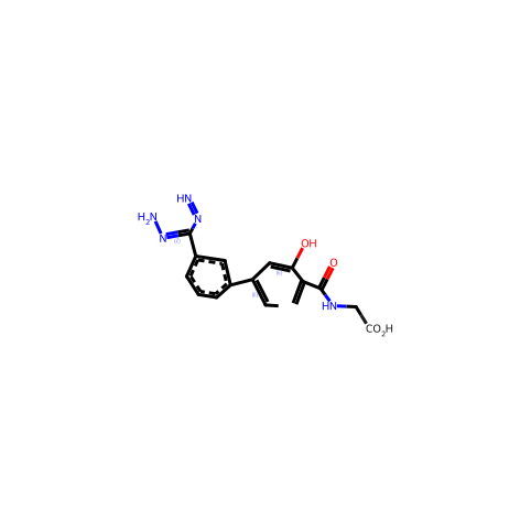 C=C(C(=O)NCC(=O)O)/C(O)=C\C(=C/C)c1cccc(/C(N=N)=N/N)c1